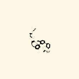 CCNC1C(c2ccc(CN3C(=O)[C@H](NC(=O)CC(C)(C)NC[C@@H](C)O)CCc4cc(SC)ccc43)cc2)=CC=CC1=S(=O)=O